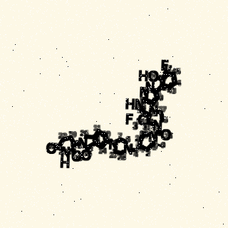 C[C@@H]1C[C@H](CN2CCN(c3ccc4c(c3)C(=O)N([C@H]3CCC(=O)NC3=O)C4)CC2)C[C@H](C)N1C(=O)N1CCN2c3cc(-c4cccc(F)c4O)nnc3NCC2(C(F)(F)F)C1